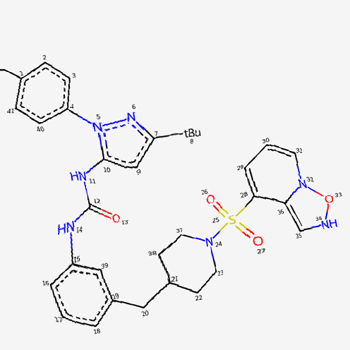 Cc1ccc(-n2nc(C(C)(C)C)cc2NC(=O)Nc2cccc(CC3CCN(S(=O)(=O)C4=CC=CN5ONC=C45)CC3)c2)cc1